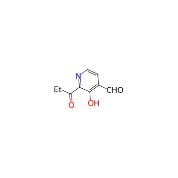 CCC(=O)c1nccc(C=O)c1O